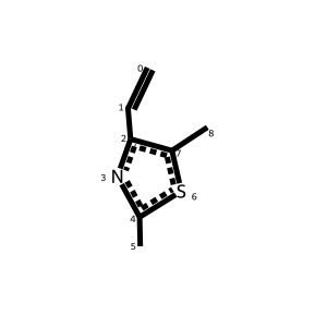 C=Cc1nc(C)sc1C